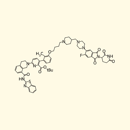 Cc1c(OCCCCN2CCC(CN3CCN(c4cc5c(cc4F)C(=O)N(C4CCC(=O)NC4=O)C5=O)CC3)CC2)cccc1-c1ccc(N2CCc3cccc(C(=O)Nc4nc5ccccc5s4)c3C2)nc1C(=O)OC(C)(C)C